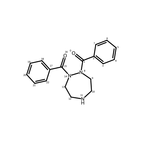 O=C(c1ccccc1)N1CCNCCN1C(=O)c1ccccc1